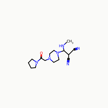 CNC(C(C#N)C#N)N1CCN(CC(=O)N2CCCC2)CC1